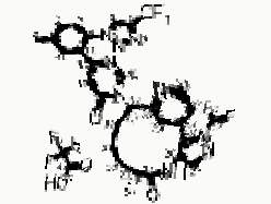 Cc1ccc(-n2cc(C(F)(F)F)nn2)c(-c2cc(=O)n([C@H]3CCC[C@@H](C)C(=O)Nc4cnn(C(F)F)c4-c4ccnc3c4)cn2)c1.O=C(O)C(F)(F)F